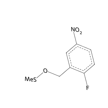 CSOCc1cc([N+](=O)[O-])ccc1F